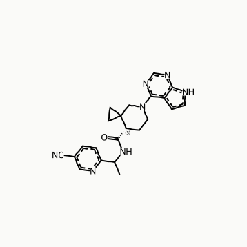 CC(NC(=O)[C@H]1CCN(c2ncnc3[nH]ccc23)CC12CC2)c1ccc(C#N)cn1